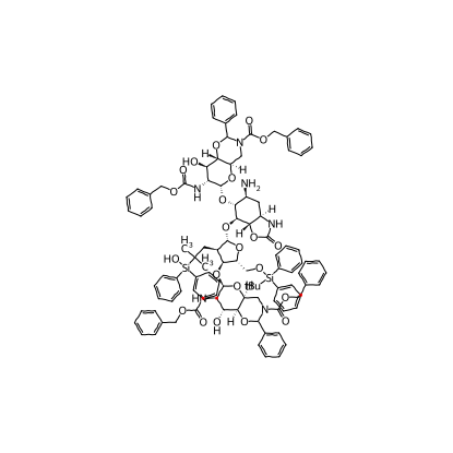 CC(C)(C[C@H]1[C@H](O[C@@H]2[C@H]3OC(=O)N[C@@H]3C[C@H](N)[C@H]2O[C@H]2O[C@@H]3CN(C(=O)OCc4ccccc4)C(c4ccccc4)O[C@H]3[C@H](O)[C@H]2NC(=O)OCc2ccccc2)O[C@H](CO[Si](c2ccccc2)(c2ccccc2)C(C)(C)C)[C@H]1O[C@H]1O[C@H]2CN(C(=O)OCc3ccccc3)C(c3ccccc3)O[C@H]2[C@H](O)[C@H]1NC(=O)OCc1ccccc1)[Si](O)(c1ccccc1)c1ccccc1